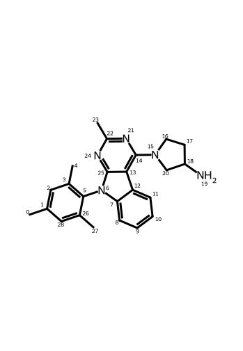 Cc1cc(C)c(-n2c3ccccc3c3c(N4CCC(N)C4)nc(C)nc32)c(C)c1